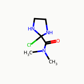 CN(C)C(=O)C1(Cl)NCCN1